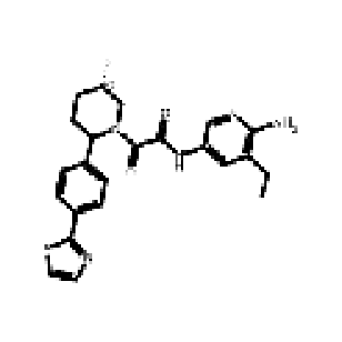 CCc1cc(NC(=O)C(=O)N2C[C@@H](C)CCC2c2ccc(-c3nccs3)cc2)cnc1N